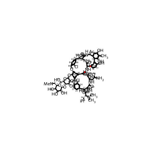 CNC[C@H]1O[C@@H](O[C@H]2[C@H](O)[C@@H](O)C(Oc3c4cc5cc3Oc3ccc(cc3Cl)[C@@H](O)[C@@H](NC(=O)[C@@H](CC(C)C)N(C)C)C(=O)N[C@@H](CC(N)=O)C(=O)N[C@H]5C(=O)N[C@H]3C(=O)N[C@H](C(=O)N[C@@H](C(C)=O)c5cc(O)c(C)c(O)c5-c5cc3ccc5O)[C@H](O)c3ccc(c(Cl)c3)O4)O[C@@H]2CO)[C@H](O)[C@@H](O)[C@H]1O